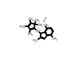 CC1=Cc2c(C)ccc(C)c2[CH]1[Zr+2][C]1=C(C)C(C)=C(C)C1(C)C.[F-].[F-]